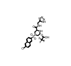 O=C(NCc1nnn[nH]1)C1CN(S(=O)(=O)c2ccc3cc(Cl)ccc3c2)CCN1.O=C(O)C(F)(F)F